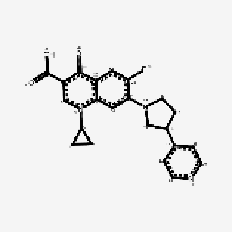 O=C(O)c1cn(C2CC2)c2cc(N3CCC(c4ccncc4)C3)c(F)cc2c1=O